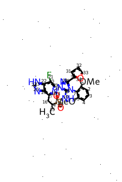 COc1cccc(OC)c1-n1c(NS(=O)(=O)[C@@H](C)Cc2ncc(F)c3[nH]cnc23)nnc1-c1ccco1